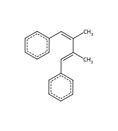 CC(=Cc1ccccc1)C(C)=Cc1ccccc1